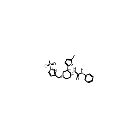 CS(=O)(=O)n1ccc(CN2CC[C@@H](NC(=O)Nc3ccccc3)[C@H](c3ccc(Cl)s3)C2)n1